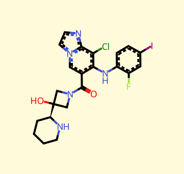 O=C(c1cn2ccnc2c(Cl)c1Nc1ccc(I)cc1F)N1CC(O)([C@@H]2CCCCN2)C1